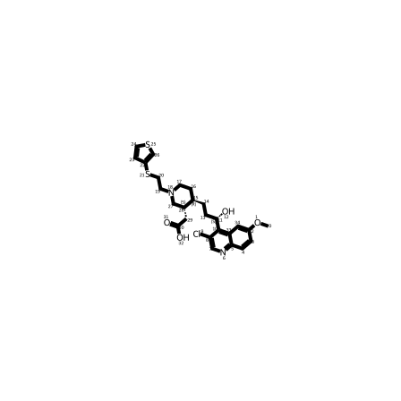 COc1ccc2ncc(Cl)c([C@@H](O)CC[C@@H]3CCN(CCSc4ccsc4)C[C@H]3CC(=O)O)c2c1